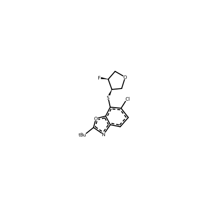 CC(C)(C)c1nc2ccc(Cl)c(S[C@@H]3COC[C@@H]3F)c2o1